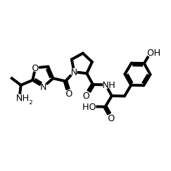 CC(N)c1nc(C(=O)N2CCCC2C(=O)NC(Cc2ccc(O)cc2)C(=O)O)co1